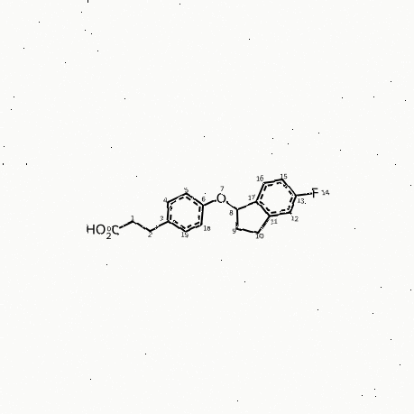 O=C(O)CCc1ccc(OC2CCc3cc(F)ccc32)cc1